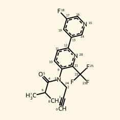 C#CCN(C(=O)C(C)C)c1ccc(-c2cncc(F)c2)nc1C(F)(F)F